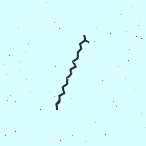 [CH2]/C=C/CCCCCCCCCCCCCC(C)C